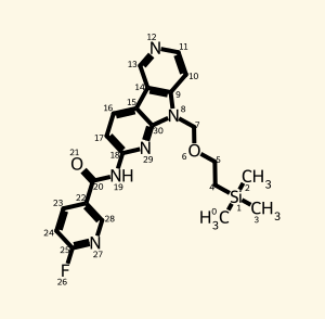 C[Si](C)(C)CCOCn1c2ccncc2c2ccc(NC(=O)c3ccc(F)nc3)nc21